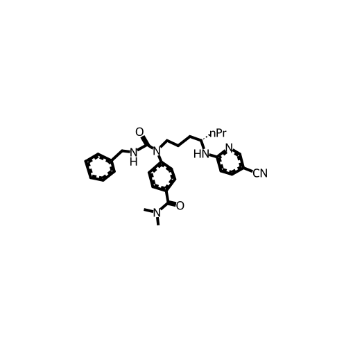 CCC[C@@H](CCCN(C(=O)NCc1ccccc1)c1ccc(C(=O)N(C)C)cc1)Nc1ccc(C#N)cn1